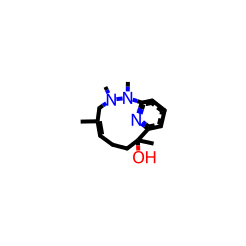 C/C1=C/CCC(C)(O)c2cccc(n2)N(C)N(C)C1